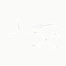 CC#N.CC(C)(C)O.ClC(Cl)Cl